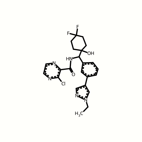 CCn1cc(-c2cccc(C(NC(=O)c3nccnc3Cl)C3(O)CCC(F)(F)CC3)c2)cn1